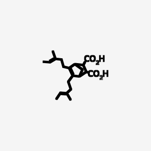 CC=C(C)CCC1=C(CCC(C)=CC)C2CC1C(C(=O)O)C2C(=O)O